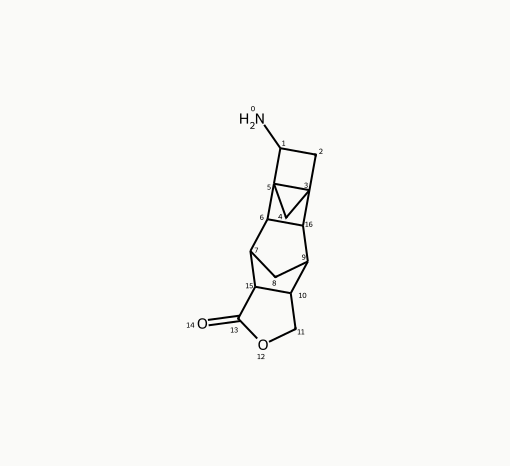 NC1CC23CC12C1C2CC(C4COC(=O)C42)C13